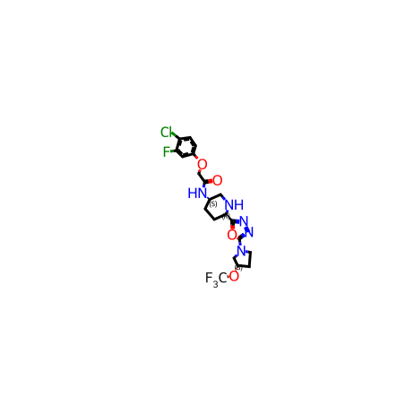 O=C(COc1ccc(Cl)c(F)c1)N[C@H]1CC[C@H](c2nnc(N3CC[C@H](OC(F)(F)F)C3)o2)NC1